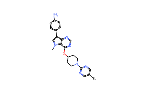 CCc1cnc(N2CCC(Oc3ncnc4c(-c5ccc(N)cc5)cn(C)c34)CC2)nc1